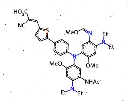 CCN(CC)c1cc(OC)c(N(c2ccc(-c3ccc(/C=C(\C#N)C(=O)O)s3)cc2)c2cc(NC(C)=O)c(N(CC)CC)cc2OC)cc1/N=C\OC